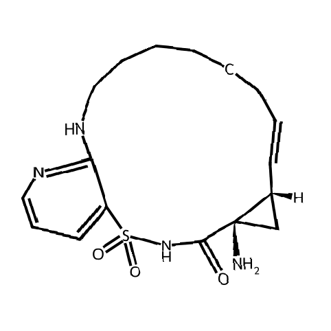 N[C@]12C[C@H]1/C=C\CCCCCCNc1ncccc1S(=O)(=O)NC2=O